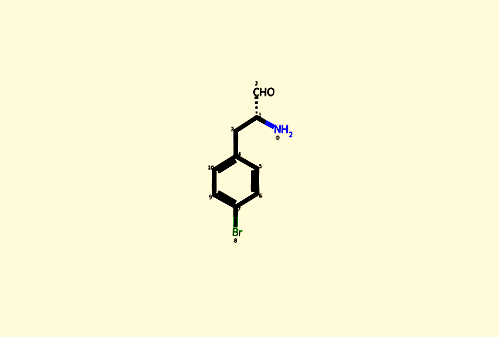 N[C@@H](C=O)Cc1ccc(Br)cc1